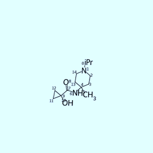 CC(C)N1CCC(C)(NC(=O)C2(O)CC2)CC1